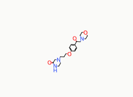 O=C1CN(CCCOc2ccc(C(=O)CN3CCOCC3)cc2)CCN1